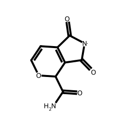 NC(=O)C1OC=CC2=C1C(=O)[N]C2=O